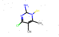 CC1=C(C#N)C(Cl)=NC(N)N1S